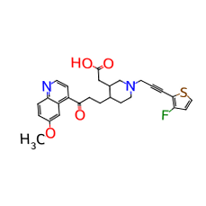 COc1ccc2nccc(C(=O)CCC3CCN(CC#Cc4sccc4F)CC3CC(=O)O)c2c1